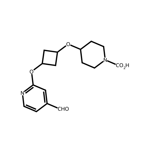 O=Cc1ccnc(OC2CC(OC3CCN(C(=O)O)CC3)C2)c1